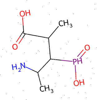 CC(N)C(C(C)C(=O)O)[PH](=O)O